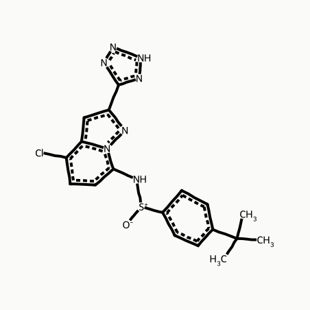 CC(C)(C)c1ccc([S+]([O-])Nc2ccc(Cl)c3cc(-c4nn[nH]n4)nn23)cc1